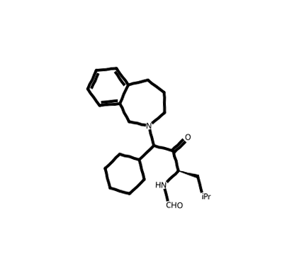 CC(C)C[C@@H](NC=O)C(=O)C(C1CCCCC1)N1CCCc2ccccc2C1